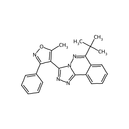 Cc1onc(-c2ccccc2)c1-c1nnc2c3ccccc3c(C(C)(C)C)nn12